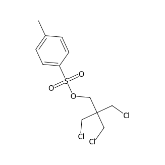 Cc1ccc(S(=O)(=O)OCC(CCl)(CCl)CCl)cc1